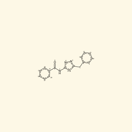 O=C(Nc1nnc(Cc2ccccc2)s1)c1ccccc1